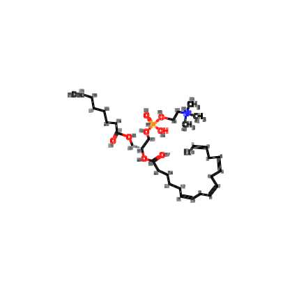 CC/C=C\C/C=C\C/C=C\C/C=C\CCCCC(=O)O[C@H](COC(=O)CCCCCCCCCCCCCCC)COP(=O)(O)OCC[N+](C)(C)C